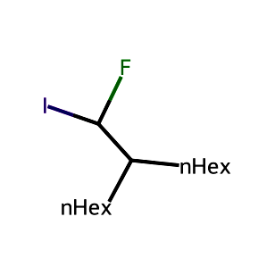 CCCCCCC(CCCCCC)C(F)I